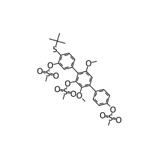 COc1cc(-c2ccc(OS(C)(=O)=O)cc2)c(OC)c(OS(C)(=O)=O)c1-c1ccc(SC(C)(C)C)c(OS(C)(=O)=O)c1